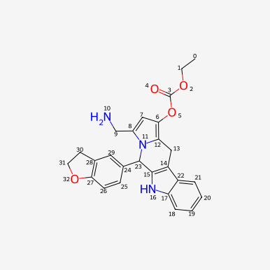 CCOC(=O)Oc1cc(CN)n2c1Cc1c([nH]c3ccccc13)C2c1ccc2c(c1)CCO2